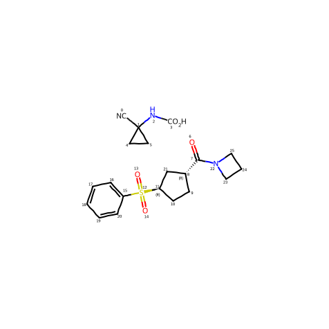 N#CC1(NC(=O)O)CC1.O=C([C@@H]1CC[C@@H](S(=O)(=O)c2ccccc2)C1)N1CCC1